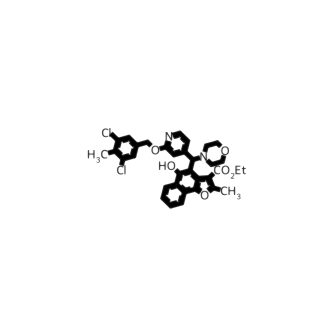 CCOC(=O)c1c(C)oc2c1c(C(c1ccnc(OCc3cc(Cl)c(C)c(Cl)c3)c1)N1CCOCC1)c(O)c1ccccc12